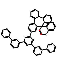 c1cncc(-c2cccc(-c3nc(-c4cccc(-c5cccnc5)c4)nc(-c4ccc5c(c4)C4(c6ccccc6Oc6ccccc64)c4ccccc4-c4ccccc4-5)n3)c2)c1